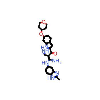 Cc1nc2cc(N/C(N)=C(\C=N)C(=O)c3cc4ccc(OC5CCOCC5)cc4[nH]3)ccc2[nH]1